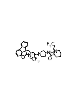 O=C(NC1CCN(CCCCC2(C(=O)NCC(F)(F)F)c3ccccc3-c3ccccc32)CC1)C1CCCCN1CCC(F)(F)F